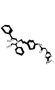 Nc1ncc(CC(=O)Nc2ccc(CCN(C[C@@H](O)c3ccccc3)C(CO)c3ccccc3)cc2)s1